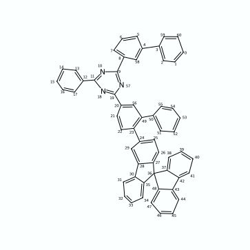 c1ccc(-c2cccc(-c3nc(-c4ccccc4)nc(-c4ccc(-c5ccc6c(c5)-c5ccccc5C65c6ccccc6-c6ccccc65)c(-c5ccccc5)c4)n3)c2)cc1